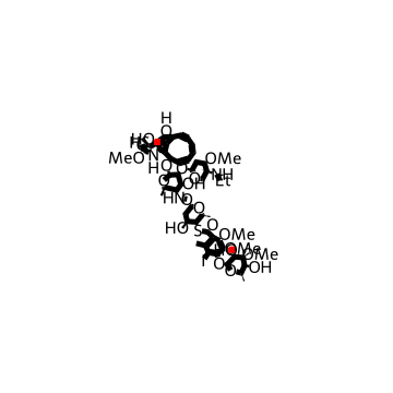 CCN[C@H]1CO[C@@H](O[C@H]2[C@H](O[C@H]3C#C/C=C\C#C[C@]4(O)C[C@H](O)C(NC(=O)OC)=C3/C4=C\CS)O[C@H](C)[C@@H](NO[C@H]3C[C@H](O)[C@H](SC(=O)c4c(C)c(I)c(O[C@@H]5O[C@@H](C)[C@H](O)[C@@H](OC)[C@H]5O)c(OC)c4OC)[C@@H](C)O3)[C@@H]2O)C[C@@H]1OC